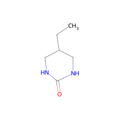 CCC1CNC(=O)NC1